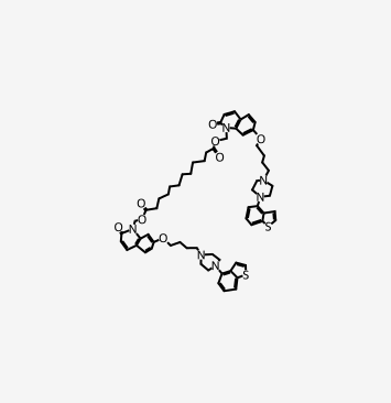 O=C(CCCCCCCCCCC(=O)OCn1c(=O)ccc2ccc(OCCCCN3CCN(c4cccc5sccc45)CC3)cc21)OCn1c(=O)ccc2ccc(OCCCCN3CCN(c4cccc5sccc45)CC3)cc21